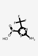 Cl.Nc1nc(C(F)(F)F)c([N+](=O)[O-])s1